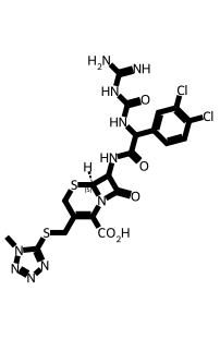 Cn1nnnc1SCC1=C(C(=O)O)N2C(=O)C(NC(=O)C(NC(=O)NC(=N)N)c3ccc(Cl)c(Cl)c3)[C@@H]2SC1